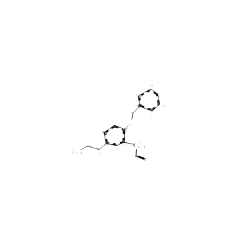 O=CNc1cc(CCBr)ccc1OCc1ccccc1